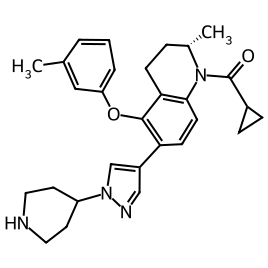 Cc1cccc(Oc2c(-c3cnn(C4CCNCC4)c3)ccc3c2CC[C@H](C)N3C(=O)C2CC2)c1